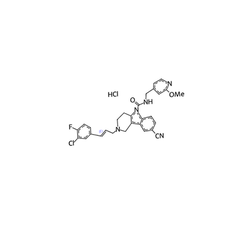 COc1cc(CNC(=O)n2c3c(c4cc(C#N)ccc42)CN(C/C=C/c2ccc(F)c(Cl)c2)CC3)ccn1.Cl